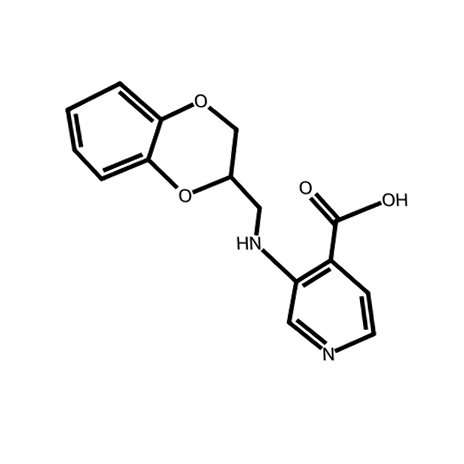 O=C(O)c1ccncc1NCC1COc2ccccc2O1